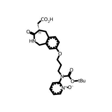 CC(C)(C)OC(=O)N(CCCOc1ccc2c(c1)CNC(=O)[C@H](CC(=O)O)C2)c1cccc[n+]1[O-]